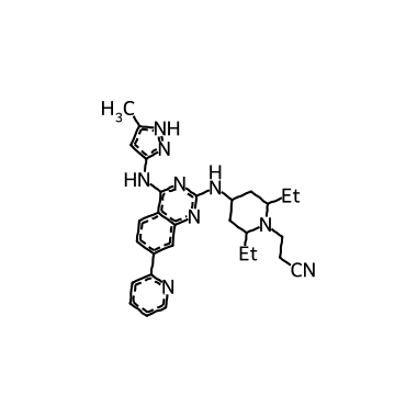 CCC1CC(Nc2nc(Nc3cc(C)[nH]n3)c3ccc(-c4ccccn4)cc3n2)CC(CC)N1CCC#N